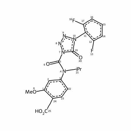 COc1cc(N(C(=O)n2nnn(-c3c(F)cccc3F)c2=O)C(C)C)ccc1C(=O)O